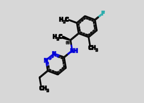 CCc1ccc(N[C@@H](C)c2c(C)cc(F)cc2C)nn1